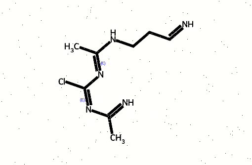 CC(=N)/N=C(Cl)\N=C(/C)NCCC=N